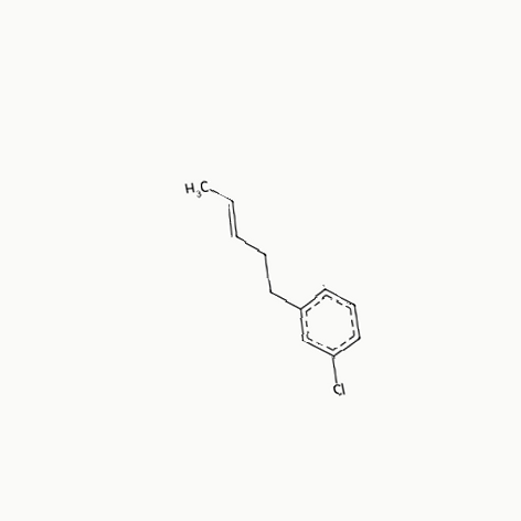 CC=CCCc1[c]ccc(Cl)c1